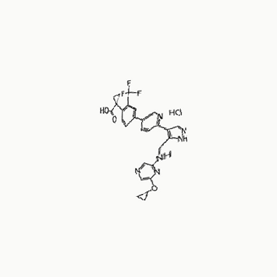 Cl.O=C(O)C1(c2ccc(-c3ccc(-c4cn[nH]c4CNc4cncc(OC5CC5)n4)nc3)cc2C(F)(F)F)CC1